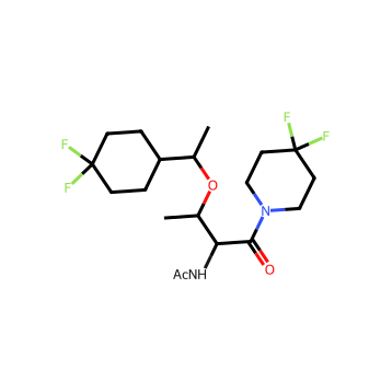 CC(=O)NC(C(=O)N1CCC(F)(F)CC1)C(C)OC(C)C1CCC(F)(F)CC1